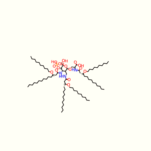 CCCCCCCCCCC[C@H](CC(=O)NCC1C(NC(=O)C[C@@H](CCCCCCCCCCC)OCCCCCCCCCC)[C@H](OP(=O)(O)O)C(CO)O[C@H]1OC[C@H](NC(=O)C[C@@H](CCCCCCCCCC)OCCCCCCCCCC)C(=O)O)OCCCCCCCCCC